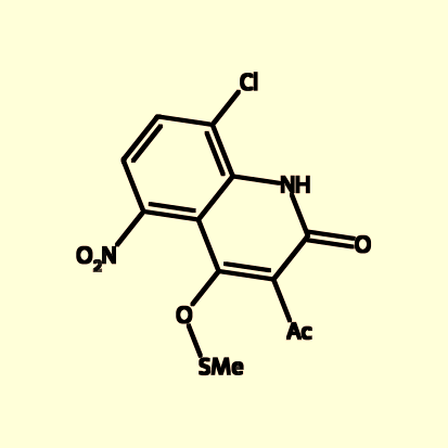 CSOc1c(C(C)=O)c(=O)[nH]c2c(Cl)ccc([N+](=O)[O-])c12